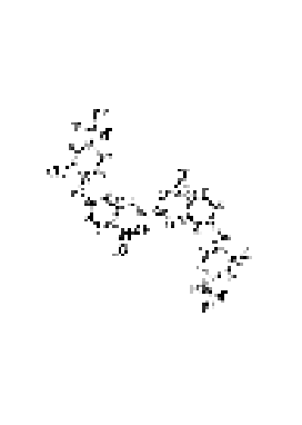 O=[N+]([O-])c1ccc(Oc2ccc(C(F)(F)F)cc2Cl)cc1CSSCc1cc(Oc2ccc(C(F)(F)F)cc2Cl)ccc1[N+](=O)[O-]